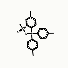 Cc1ccc(S(OS(C)(=O)=O)(c2ccc(C)cc2)c2ccc(C)cc2)cc1